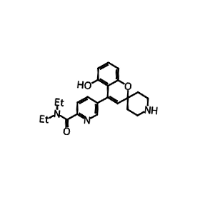 CCN(CC)C(=O)c1ccc(C2=CC3(CCNCC3)Oc3cccc(O)c32)cn1